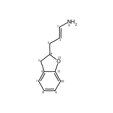 N/C=C/CC1Cc2ccccc2O1